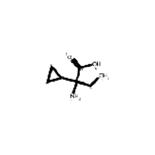 CCC(N)(C(=O)O)C1CC1